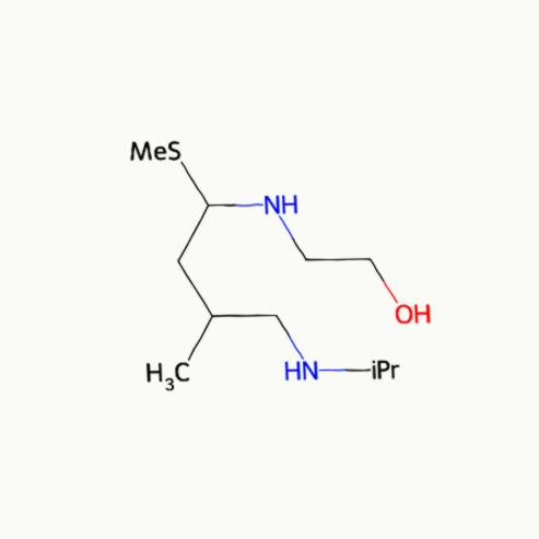 CSC(CC(C)CNC(C)C)NCCO